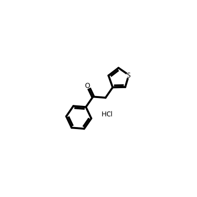 Cl.O=C(Cc1ccsc1)c1ccccc1